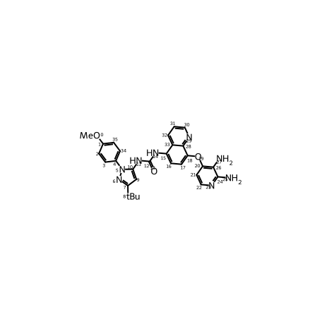 COc1ccc(-n2nc(C(C)(C)C)cc2NC(=O)Nc2ccc(Oc3ccnc(N)c3N)c3ncccc23)cc1